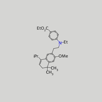 CCOC(=O)c1ccc(N(CC)CCc2cc3c(cc2OC)C(C)(C)CC=C3C(C)C)cc1